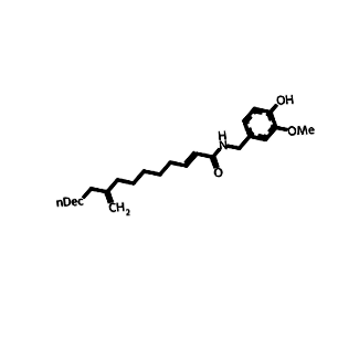 C=C(CCCCC/C=C/C(=O)NCc1ccc(O)c(OC)c1)CCCCCCCCCCC